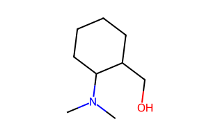 CN(C)C1CCCCC1CO